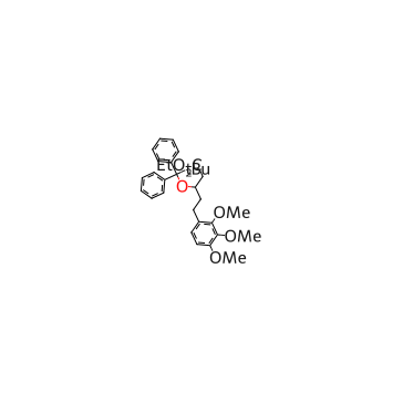 CCOC(=O)CC(CCc1ccc(OC)c(OC)c1OC)OC(c1ccccc1)(c1ccccc1)C(C)(C)C